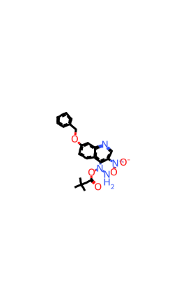 CC(C)(C)C(=O)ON(N)c1c([N+](=O)[O-])cnc2cc(OCc3ccccc3)ccc12